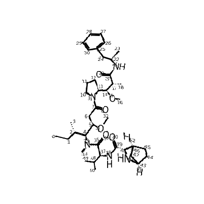 CC[C@H](C)[C@@H]([C@@H](CC(=O)N1CCC[C@H]1[C@H](OC)[C@@H](C)C(=O)N[C@H](C)[CH]c1ccccc1)OC)N(C)C(=O)[C@@H](NC(=O)[C@H]1N[C@@H]2CC[C@H]1C2)C(C)C